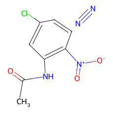 CC(=O)Nc1cc(Cl)ccc1[N+](=O)[O-].N#N